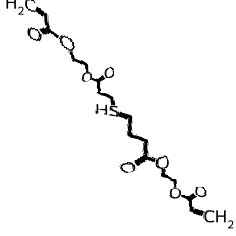 C=CC(=O)OCCOC(=O)CCC=[SH]CCC(=O)OCCOC(=O)C=C